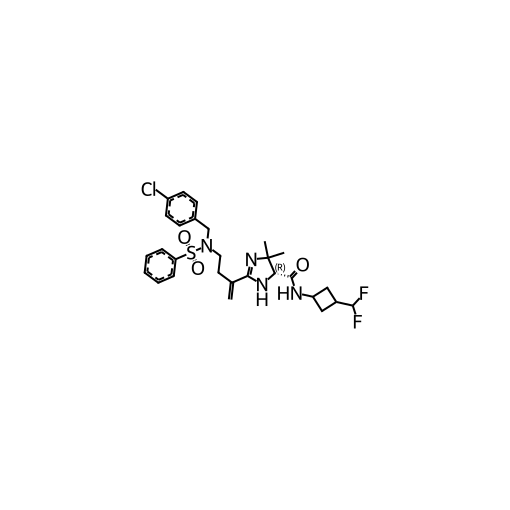 C=C(CCN(Cc1ccc(Cl)cc1)S(=O)(=O)c1ccccc1)C1=NC(C)(C)[C@H](C(=O)NC2CC(C(F)F)C2)N1